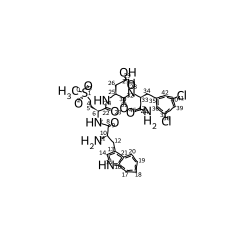 CS(=O)(=O)CC[C@H](NC(=O)[C@H](N)Cc1c[nH]c2ccccc12)C(=O)N[C@@H](CC(=O)O)C(=O)N[C@@H](Cc1cc(Cl)cc(Cl)c1)C(N)=O